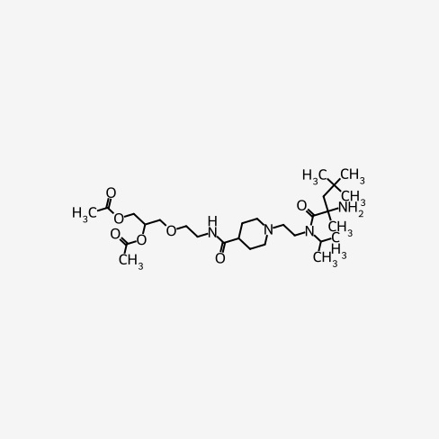 CC(=O)OCC(COCCNC(=O)C1CCN(CCN(C(=O)C(C)(N)CC(C)(C)C)C(C)C)CC1)OC(C)=O